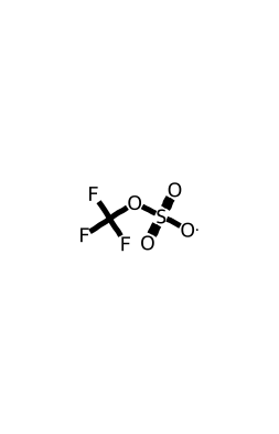 [O]S(=O)(=O)OC(F)(F)F